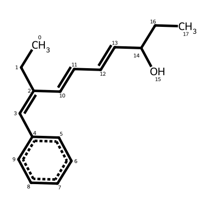 CCC(=Cc1ccccc1)/C=C/C=C/C(O)CC